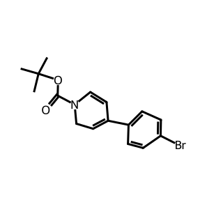 CC(C)(C)OC(=O)N1C=CC(c2ccc(Br)cc2)=CC1